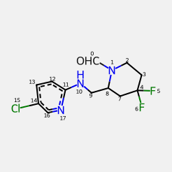 O=CN1CCC(F)(F)CC1CNc1ccc(Cl)cn1